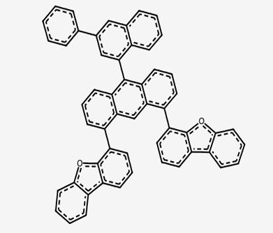 c1ccc(-c2cc(-c3c4cccc(-c5cccc6c5oc5ccccc56)c4cc4c(-c5cccc6c5oc5ccccc56)cccc34)c3ccccc3c2)cc1